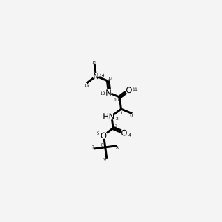 CC(NC(=O)OC(C)(C)C)C(=O)/N=C/N(C)C